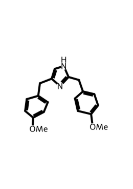 COc1ccc(Cc2c[nH]c(Cc3ccc(OC)cc3)n2)cc1